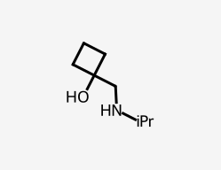 CC(C)NCC1(O)CCC1